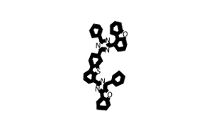 c1ccc(-c2nc(-c3ccc4c(c3)sc3c(-c5nc(-c6ccccc6)c6oc7ccccc7c6n5)cccc34)nc(-c3cccc4oc5ccccc5c34)n2)cc1